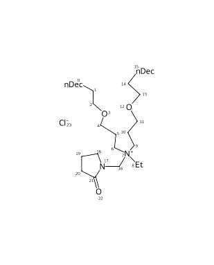 CCCCCCCCCCCCOCCC[N+](CC)(CCCOCCCCCCCCCCCC)CN1CCCC1=O.[Cl-]